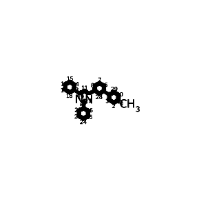 Cc1ccc(-c2cccc(-c3cc(-c4ccccc4)nc(-c4ccccc4)n3)c2)cc1